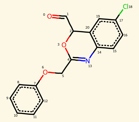 O=CC1OC(COc2ccccc2)=Nc2ccc(Cl)cc21